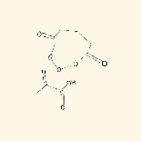 CC(=O)C(=O)O.O=C1CCCC(=O)OOO1